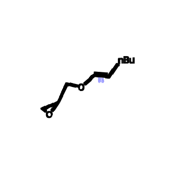 CCCC/C=C/OCC1CO1